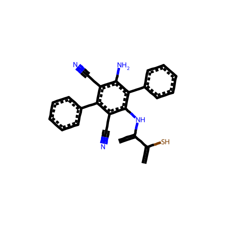 C=C(S)C(=C)Nc1c(C#N)c(-c2ccccc2)c(C#N)c(N)c1-c1ccccc1